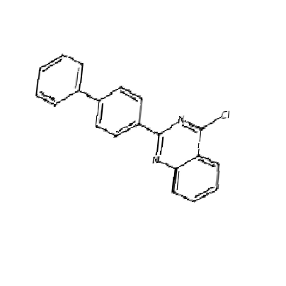 Clc1nc(-c2ccc(-c3ccccc3)cc2)nc2ccccc12